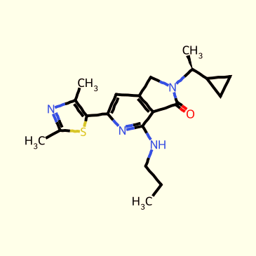 CCCNc1nc(-c2sc(C)nc2C)cc2c1C(=O)N([C@@H](C)C1CC1)C2